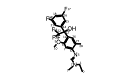 CCN(C)/C=N/c1cc(OC)c(C(O)(c2cc(F)cc(F)c2)C(F)(F)F)cc1C